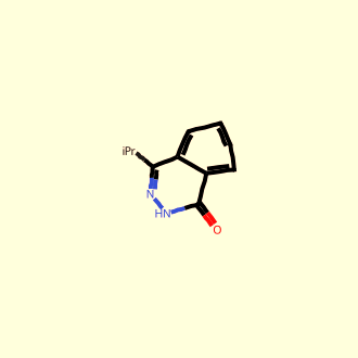 CC(C)c1n[nH]c(=O)c2ccccc12